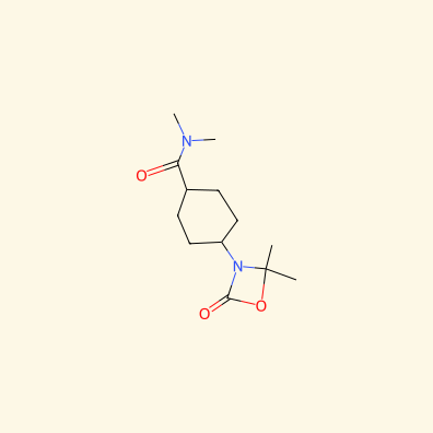 CN(C)C(=O)C1CCC(N2C(=O)OC2(C)C)CC1